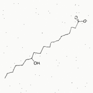 CCCCCCC(O)CCCCCCCCCCC([O])=O